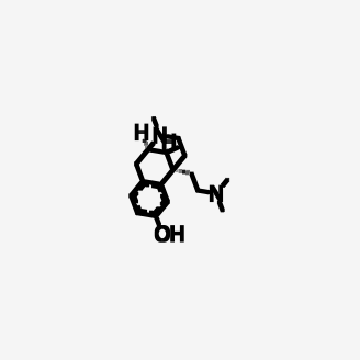 C[C@H]1[C@H]2Cc3ccc(O)cc3[C@]1(CCN(C)C)CCN2C